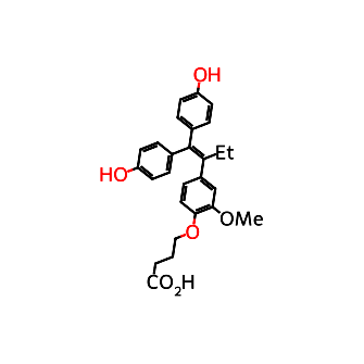 CCC(=C(c1ccc(O)cc1)c1ccc(O)cc1)c1ccc(OCCCC(=O)O)c(OC)c1